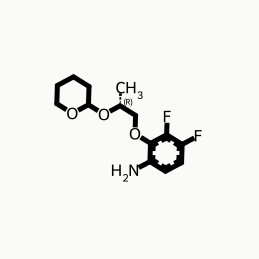 C[C@H](COc1c(N)ccc(F)c1F)OC1CCCCO1